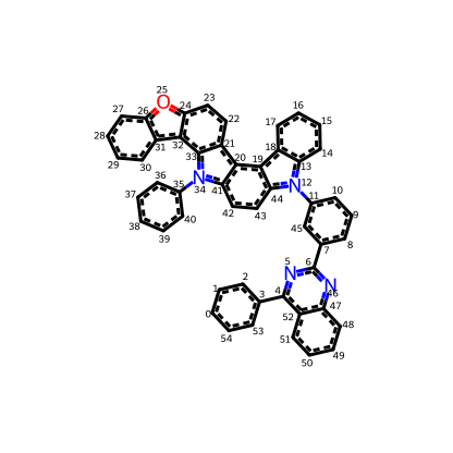 c1ccc(-c2nc(-c3cccc(-n4c5ccccc5c5c6c7ccc8oc9ccccc9c8c7n(-c7ccccc7)c6ccc54)c3)nc3ccccc23)cc1